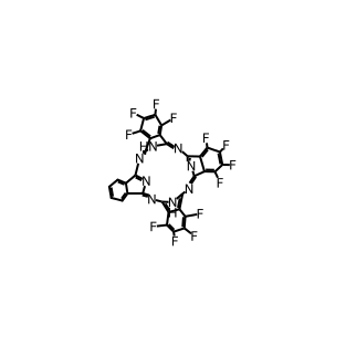 Fc1c(F)c(F)c2c(c1F)-c1nc-2nc2[nH]c(nc3nc(nc4[nH]c(n1)c1c(F)c(F)c(F)c(F)c41)-c1ccccc1-3)c1c(F)c(F)c(F)c(F)c21